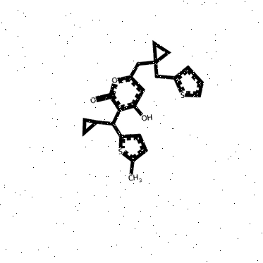 Cc1ccc(C(c2c(O)cc(CC3(Cc4cccs4)CC3)oc2=O)C2CC2)s1